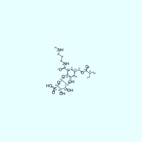 CNCCCNC(=O)c1cc(COC(=O)C(C)C)ccc1O[C@H]1O[C@H](C(=O)O)[C@@H](O)[C@H](O)[C@H]1O